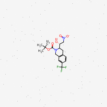 CC(C)(C)OC(=O)N1Cc2cc(C(F)(F)F)ccc2CC1[C@H](O)C[N+](=O)[O-]